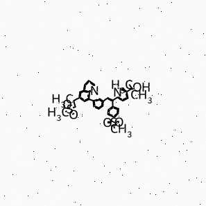 CC(CS(C)(=O)=O)c1cc(-c2cccc(/C=C(\c3ccc(S(C)(=O)=O)cc3)c3ccc(C(C)(C)O)cn3)c2)c2ncccc2c1